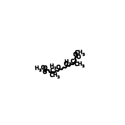 COC(=O)CCC(C)(C)CCCC(=O)CCCC(=O)CCCC(C)(C)CCC(=O)OC